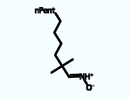 CCCCCCCCCC(C)(C)C=[NH+][O-]